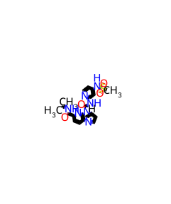 CC(C)NC(=O)c1ccc2c(n1)N(C(=O)Nc1cc(NS(C)(=O)=O)ccn1)[C@H]1CCN2C1